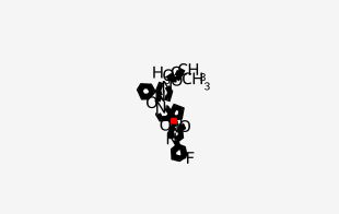 CC(C)(C)OC(=O)N1CCN(C(=O)N2CC[C@@](O)(Cn3cnc(-c4cccc(F)c4)cc3=O)C3(CCCC3)C2)[C@H](c2ccccc2)C1